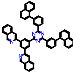 c1cc(-c2nc(-c3cc(-c4cc5ccccc5cn4)cc(-c4cc5ccccc5cn4)c3)nc(-c3cccc(-c4cccc5ccccc45)c3)n2)cc(-c2cccc3ccccc23)c1